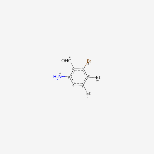 CCc1cc(N)c(C=O)c(Br)c1CC